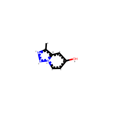 Cc1nnn2ccc(O)cc12